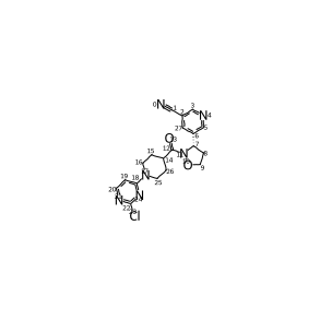 N#Cc1cncc([C@@H]2CCON2C(=O)C2CCN(c3ccnc(Cl)n3)CC2)c1